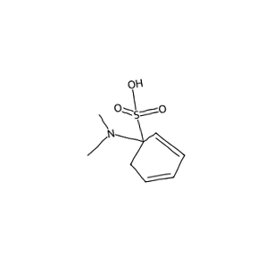 CN(C)C1(S(=O)(=O)O)C=CC=CC1